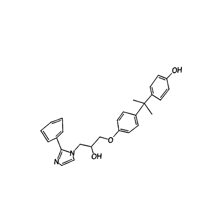 CC(C)(c1ccc(O)cc1)c1ccc(OCC(O)Cn2ccnc2-c2ccccc2)cc1